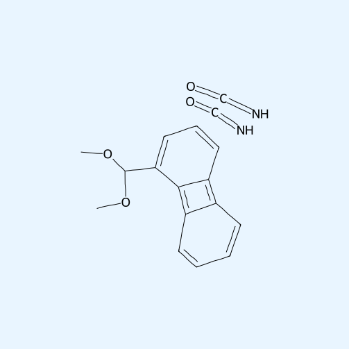 COC(OC)c1cccc2c1=c1ccccc1=2.N=C=O.N=C=O